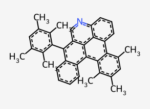 Cc1cc(C)c(C)c(-c2c3ccccc3c3c4c(C)c(C)cc(C)c4c4cccc5ncc2c3c54)c1C